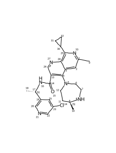 Cc1cc2c(N3CCN[C@@H](C)CC3)c(C(=O)N[C@@H](C)c3cncc(Cl)c3)cnc2c(C2CC2)n1